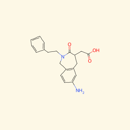 Nc1ccc2c(c1)CC(CC(=O)O)C(=O)N(CCc1ccccc1)C2